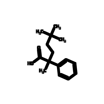 CC(C)(C)CCC(C)(C(=O)O)c1ccccc1